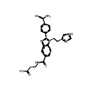 N=C(N)c1ccc(-c2nc3cc(C(=O)NCCC(=O)O)ccc3n2CCc2c[nH]cn2)cc1